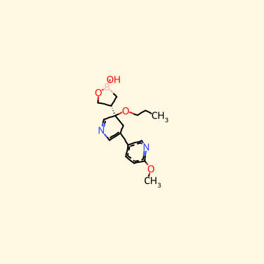 CCCOC1([C@@H]2COB(O)C2)C=NC=C(c2ccc(OC)nc2)C1